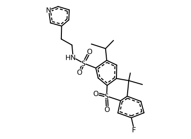 CC(C)c1cc2c(cc1S(=O)(=O)NCCc1cccnc1)S(=O)(=O)c1cc(F)ccc1C2(C)C